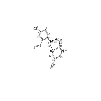 C=Cc1cc(Cl)ccc1N(Cc1cc(Br)cnc1Cl)C(C)=O